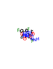 CCC(CC)(NC(=O)C(C)C)C(=O)N[C@@H](CCCNC(=N)F)C(=O)NC1(C(=O)NC(c2ccc(F)cc2)c2ccc(F)cc2)CCCC1